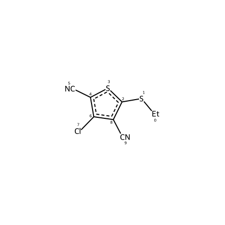 CCSc1sc(C#N)c(Cl)c1C#N